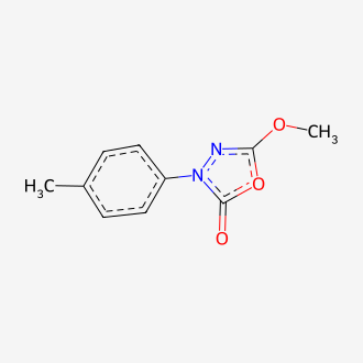 COc1nn(-c2ccc(C)cc2)c(=O)o1